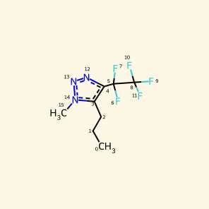 CCCc1c(C(F)(F)C(F)(F)F)nnn1C